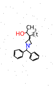 CCC(=C1CN(C(c2ccccc2)c2ccccc2)C1)C(C)O